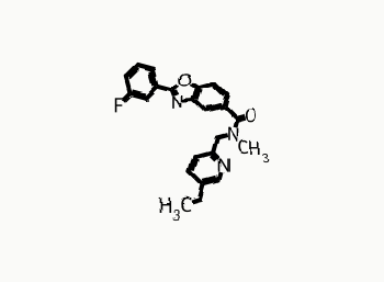 CCc1ccc(CN(C)C(=O)c2ccc3oc(-c4cccc(F)c4)nc3c2)nc1